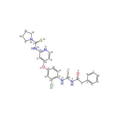 O=C(Cc1ccccc1)NC(=S)Nc1ccc(Oc2ccnc(NC(=S)N3CCCC3)c2)cc1Cl